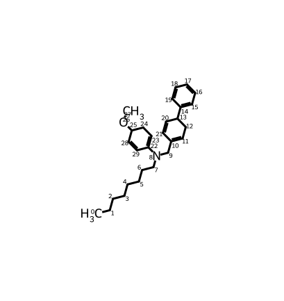 CCCCCCCCN(CC1=CCC(c2ccccc2)C=C1)C1=CCC(OC)C=C1